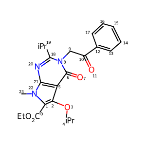 CCOC(=O)c1c(OC(C)C)c2c(=O)n(CC(=O)c3ccccc3)c(C(C)C)nc2n1C